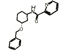 O=C(NC1CCC[C@@H](OCc2ccccc2)C1)c1ccccn1